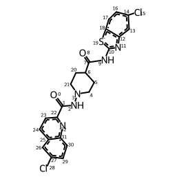 O=C(NN1CCC(C(=O)Nc2nc3cc(Cl)ccc3s2)CC1)c1ccc2cc(Cl)ccc2n1